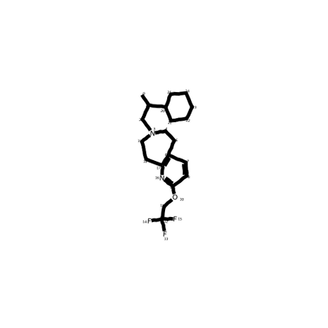 CC(CN1CCc2ccc(OCC(F)(F)F)nc2CC1)C1CCCCC1